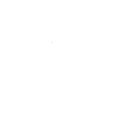 CC[C@H](C(=O)OC)C(C=O)C=O